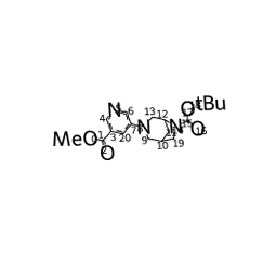 COC(=O)c1cncc(N2CC3CC(C2)N(C(=O)OC(C)(C)C)C3)c1